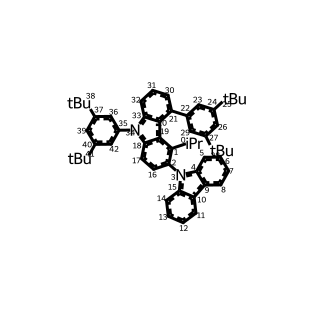 CC(C)c1c(-n2c3ccccc3c3ccccc32)ccc2c1c1c(-c3cc(C(C)(C)C)cc(C(C)(C)C)c3)cccc1n2-c1cc(C(C)(C)C)cc(C(C)(C)C)c1